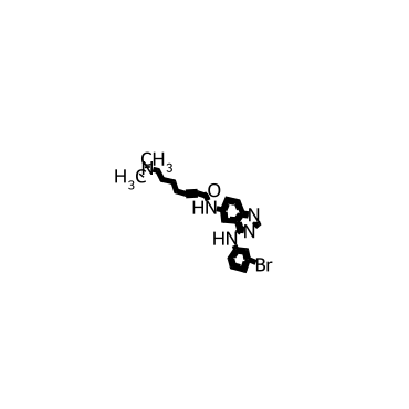 CN(C)CCCCC#CC(=O)Nc1ccc2ncnc(Nc3cccc(Br)c3)c2c1